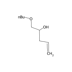 C=CCC(O)COCCCC